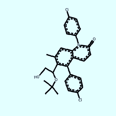 Cc1cc2c(ccc(=O)n2-c2ccc(Cl)cc2)c(-c2ccc(Cl)cc2)c1C(CO)OC(C)(C)C